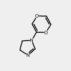 C1=COC(N2C=NCC2)=CO1